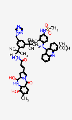 CC(=O)O.CC(C)(C#N)c1cc(Cn2cncn2)cc(C(C)(C)C#N)c1.COc1cc(NS(C)(=O)=O)ccc1Nc1c2ccccc2nc2ccccc12.Cc1ccc2c(c1O)NC(O)C1CC(/C=C/C(N)=O)=CN1C2=O